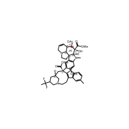 CC[C@]12C=CCN3CC[C@@]4(c5cc([C@@]6(C(=O)OC)C[C@H]7CC(C(C)(F)F)CN(CCc8c6[nH]c6ccc(C)cc86)C7)c(OC)cc5N(C)[C@H]4[C@@](O)(C(=O)OC)[C@@H]1OC(C)=O)[C@@H]32